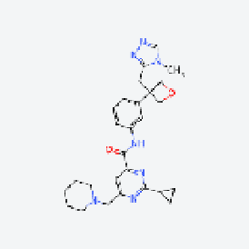 Cn1cnnc1CC1(c2cccc(NC(=O)c3cc(CN4CCCCC4)nc(C4CC4)n3)c2)COC1